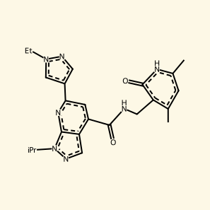 CCn1cc(-c2cc(C(=O)NCc3c(C)cc(C)[nH]c3=O)c3cnn(C(C)C)c3n2)cn1